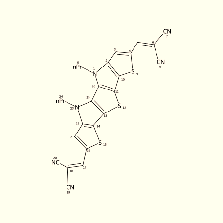 CCCn1c2cc(C=C(C#N)C#N)sc2c2sc3c4sc(C=C(C#N)C#N)cc4n(CCC)c3c21